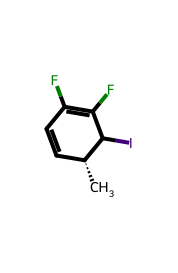 C[C@@H]1C=CC(F)=C(F)C1I